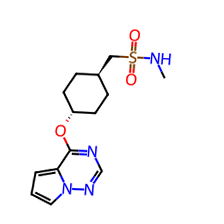 CNS(=O)(=O)C[C@H]1CC[C@H](Oc2ncnn3cccc23)CC1